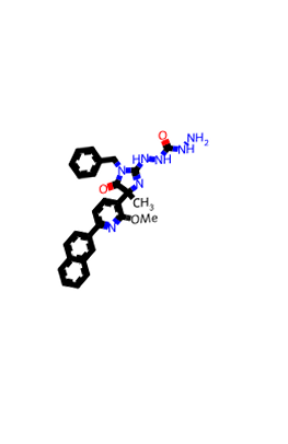 COc1nc(-c2ccc3ccccc3c2)ccc1C1(C)N=C(NNC(=O)NN)N(Cc2ccccc2)C1=O